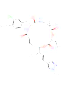 COc1ccc(C[C@H]2NC(=O)/C=C/C[C@@H]([C@H](C)/C=C/c3cnn(C)c3)OC(=O)[C@H](CC(C)C)OC(=O)C(C)(C)CNC2=O)cc1Cl